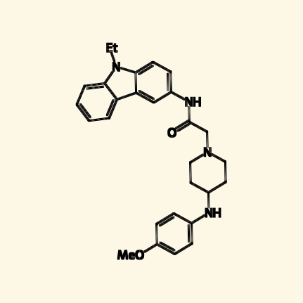 CCn1c2ccccc2c2cc(NC(=O)CN3CCC(Nc4ccc(OC)cc4)CC3)ccc21